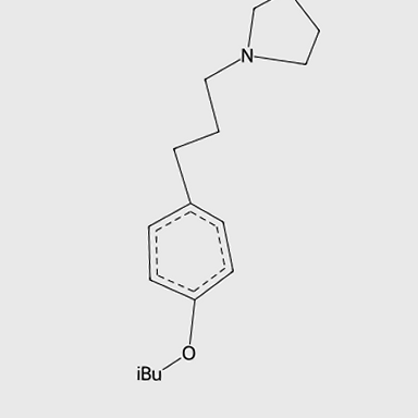 CCC(C)Oc1ccc(CCCN2CCCC2)cc1